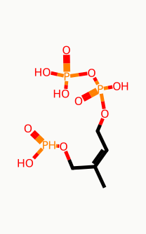 CC(=CCOP(=O)(O)OP(=O)(O)O)CO[PH](=O)O